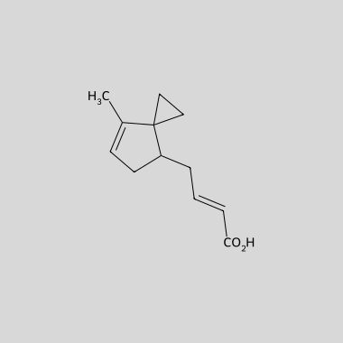 CC1=CCC(CC=CC(=O)O)C12CC2